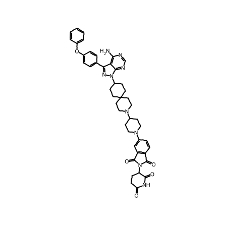 Nc1ncnc2c1c(-c1ccc(Oc3ccccc3)cc1)nn2C1CCC2(CC1)CCN(C1CCN(c3ccc4c(c3)C(=O)N(C3CCC(=O)NC3=O)C4=O)CC1)CC2